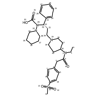 CCN(C(=O)Cc1ccc(S(C)(=O)=O)cc1)C1CCN(CC[C@@H](c2ccccc2)N(C(=O)O)N2CCCCC2)CC1